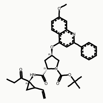 C=CC1C[C@]1(NC(=O)[C@@H]1C[C@@H](Oc2cc(-c3ccccc3)nc3cc(OC)ccc23)CN1C(=O)OC(C)(C)C)C(=O)CC